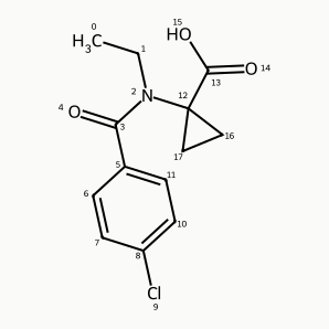 CCN(C(=O)c1ccc(Cl)cc1)C1(C(=O)O)CC1